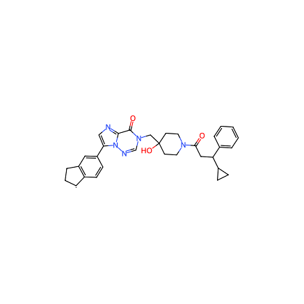 O=C(CC(c1ccccc1)C1CC1)N1CCC(O)(Cn2cnn3c(-c4ccc5c(c4)CC[CH]5)cnc3c2=O)CC1